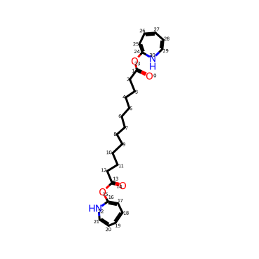 O=C(CCCCCCCCCCCC(=O)OC1=CC=CC=CN1)OC1=CC=CC=CN1